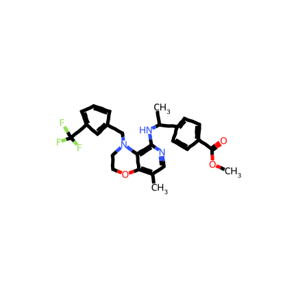 COC(=O)c1ccc(C(C)Nc2ncc(C)c3c2N(Cc2cccc(C(F)(F)F)c2)CCO3)cc1